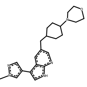 Cn1cc(-c2c[nH]c3ncc(CC4CCC(N5CCOCC5)CC4)cc23)cn1